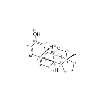 C[C@@]12CCC[C@H]1[C@@H]1CC=C3C=CC(O)=C[C@@H]3[C@H]1CC2